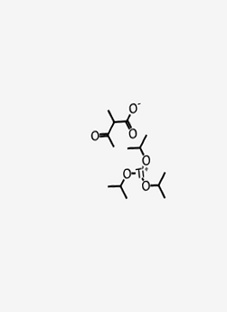 CC(=O)C(C)C(=O)[O-].CC(C)[O][Ti+]([O]C(C)C)[O]C(C)C